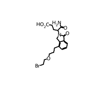 NC(=O)C(CCC(=O)O)N1Cc2c(CCCOCCBr)cccc2C1=O